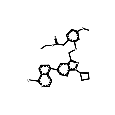 CCOC(=O)Cc1ccc(OC)cc1OCc1nn(C2CCC2)c2ccc(-c3cccc4c(N)nccc34)cc12